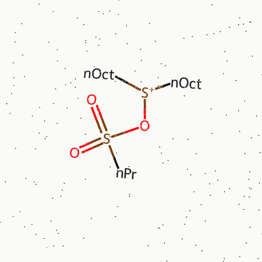 CCCCCCCC[S+](CCCCCCCC)OS(=O)(=O)CCC